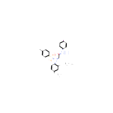 COc1ccc(N(CC(=O)Nc2ccc(I)cc2)S(=O)(=O)c2ccc(C)cc2)c(OC)c1